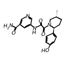 C[C@@H]1CC[C@@H](c2ccc(O)cc2)N(C(=O)C(=O)Nc2cncc(C(N)=O)c2)C1